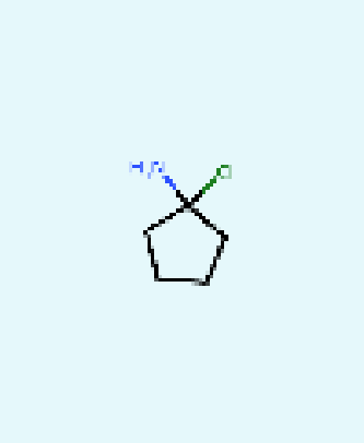 NC1(Cl)CCCC1